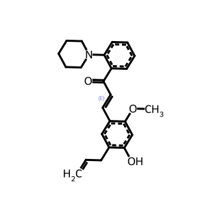 C=CCc1cc(/C=C/C(=O)c2ccccc2N2CCCCC2)c(OC)cc1O